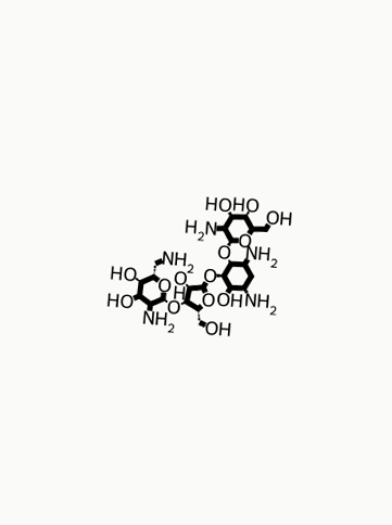 NC[C@@H]1O[C@H](O[C@@H]2[C@H](O)C(O[C@@H]3C(O)[C@H](N)CC(N)[C@H]3O[C@@H]3OC(CO)[C@@H](O)[C@H](O)C3N)O[C@@H]2CO)C(N)C(O)[C@@H]1O